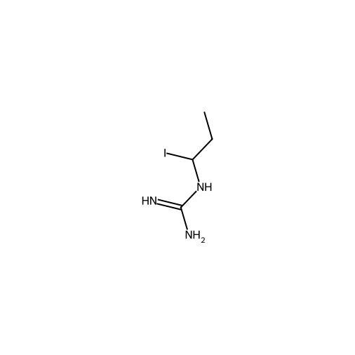 CCC(I)NC(=N)N